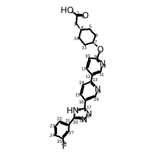 O=C(O)C[C@H]1CC[C@@H](Oc2ccc(-c3ccc(-c4nnc(-c5cccc(F)c5)[nH]4)cn3)cn2)CC1